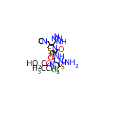 CC(C)(O/N=C(\C(=O)N[C@@H]1C(=O)N2C(c3nnn[nH]3)=C(CN3CCCC3)CS[C@H]12)c1nc(N)sc1Cl)C(=O)O